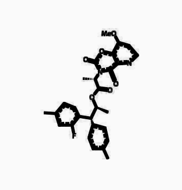 COc1ccnc2c(=O)n([C@@H](C)C(=O)O[C@@H](C)[C@H](c3ccc(C)cc3)c3ccc(C)cc3F)c(=O)oc12